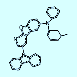 CC1C=CC=C(N(c2ccccc2)c2ccc3oc4ncc(-n5c6ccccc6c6ccccc65)cc4c3c2)C1